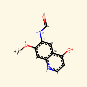 COc1cc2nccc(O)c2cc1NC=O